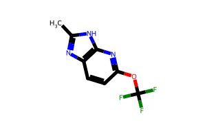 Cc1nc2ccc(OC(F)(F)F)nc2[nH]1